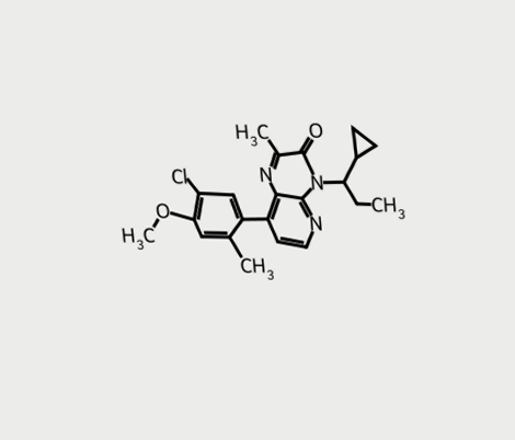 CCC(C1CC1)n1c(=O)c(C)nc2c(-c3cc(Cl)c(OC)cc3C)ccnc21